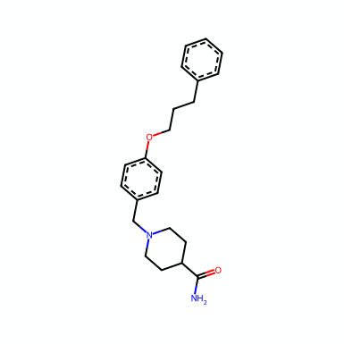 NC(=O)C1CCN(Cc2ccc(OCCCc3ccccc3)cc2)CC1